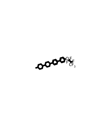 CC1CCC(C2CCC(c3ccc(-c4ccc(OC(F)(F)C(F)C(F)(F)F)cc4)cc3)CC2)CC1